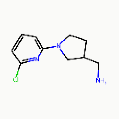 NCC1CCN(c2cccc(Cl)n2)C1